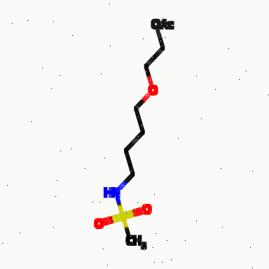 CC(=O)OCCOCCCCNS(C)(=O)=O